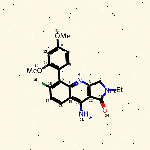 CCN1Cc2nc3c(-c4ccc(OC)cc4OC)c(F)ccc3c(N)c2C1=O